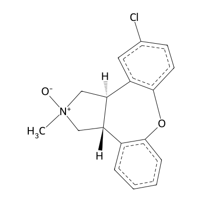 C[N+]1([O-])C[C@H]2c3ccccc3Oc3ccc(Cl)cc3[C@@H]2C1